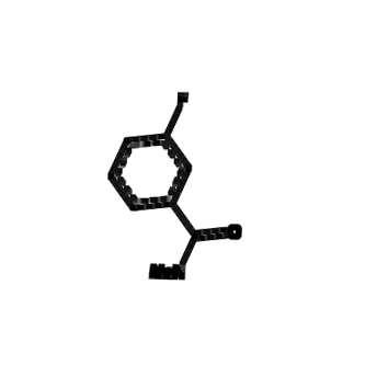 CNC(=O)c1cccc(F)c1